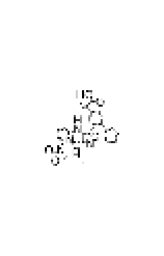 Cc1noc(-c2cc(C3(C(=O)O)CC3)ccc2-c2ccccc2)c1Nc1cccc(N2CCOC2=O)n1